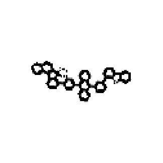 CC1(C)c2ccc3ccccc3c2-c2cccc(-c3ccc(-c4c5ccccc5c(-c5cccc(-c6cccc7c6oc6ccccc67)c5)c5ccccc45)cc3)c21